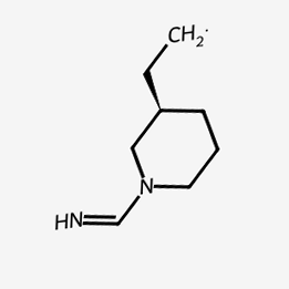 [CH2]C[C@H]1CCCN(C=N)C1